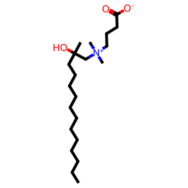 CCCCCCCCCCCCC(C)(O)C[N+](C)(C)CCCC(=O)[O-]